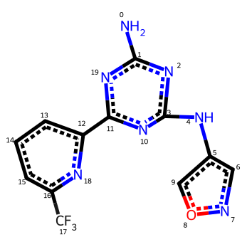 Nc1nc(Nc2cnoc2)nc(-c2cccc(C(F)(F)F)n2)n1